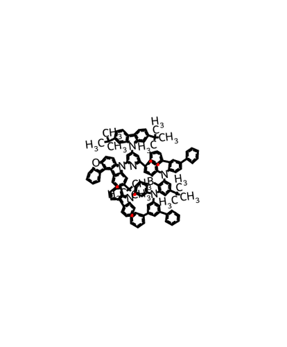 CC(C)(C)c1cc2c3c(c1)N(c1ccc(-c4ccccc4)cc1-c1ccccc1)c1ccc(-c4cc(-n5c6cc(C(C)(C)C)ccc6c6ccc(C(C)(C)C)cc65)cc(-n5c6cc(C(C)(C)C)ccc6c6c7c(ccc65)oc5ccccc57)n4)cc1B3c1ccc(-n3c4ccccc4c4ccccc43)cc1N2c1cc(-c2ccccc2)cc(-c2ccccc2)c1